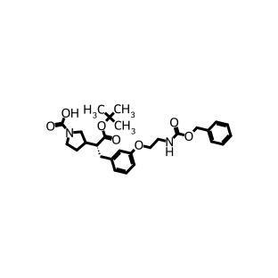 CC(C)(C)OC(=O)[C@H](Cc1cccc(OCCNC(=O)OCc2ccccc2)c1)C1CCN(C(=O)O)C1